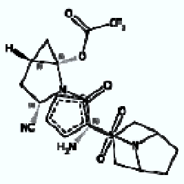 N#C[C@@H]1C[C@@H]2C[C@@]2(OC(=O)C(F)(F)F)N1C(=O)[C@@H](N)C1CC2CCC(C1)N2S(=O)(=O)c1cccs1